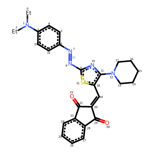 [CH2]CN(CC)c1ccc(/N=N/c2nc(N3CCCCC3)c(C=C3C(=O)c4ccccc4C3=O)s2)cc1